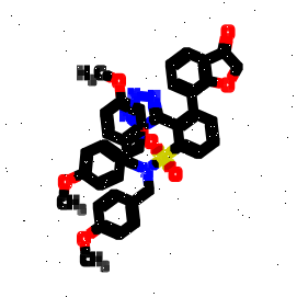 COc1ccc(CN(Cc2ccc(OC)cc2)S(=O)(=O)c2cccc(-c3cccc4c3OCC4=O)c2-c2nnnn2Cc2ccc(OC)cc2)cc1